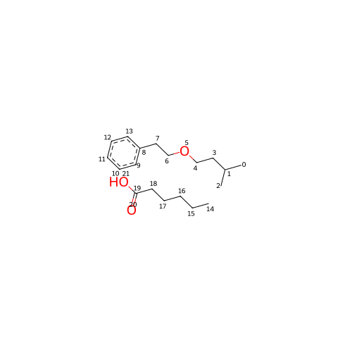 CC(C)CCOCCc1ccccc1.CCCCCC(=O)O